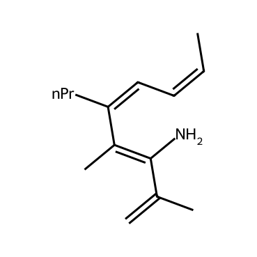 C=C(C)/C(N)=C(C)/C(=C\C=C/C)CCC